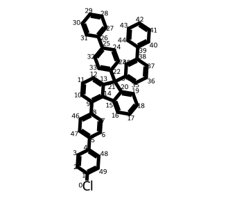 Clc1ccc(-c2ccc(-c3cccc4c3-c3ccccc3C4(c3ccc(-c4ccccc4)cc3)c3cccc(-c4ccccc4)c3)cc2)cc1